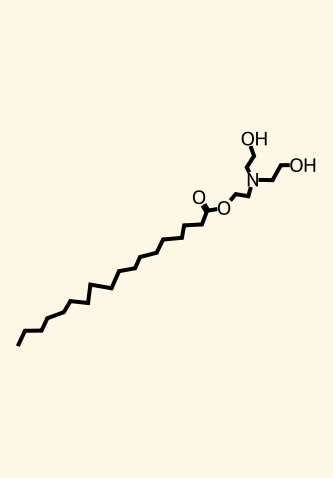 CCCCCCCCCCCCCCCCCC(=O)OCCN(CCO)CCO